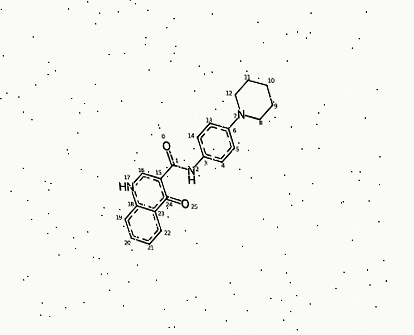 O=C(Nc1ccc(N2CCCCC2)cc1)c1c[nH]c2ccccc2c1=O